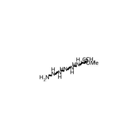 CO[Si](C)(C)CCCNCCNCCNCCNCCNCCN